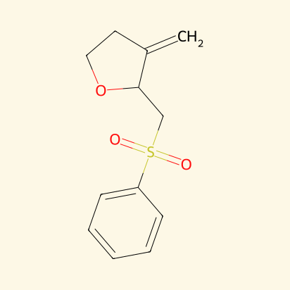 C=C1CCOC1CS(=O)(=O)c1ccccc1